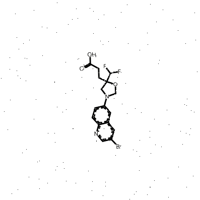 O=C(O)CCC1(C(F)F)CN(c2ccc3ncc(Br)cc3c2)CO1